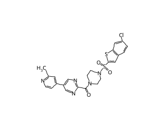 Cc1cc(-c2cnc(C(=O)N3CCN(S(=O)(=O)c4cc5ccc(Cl)cc5s4)CC3)nc2)ccn1